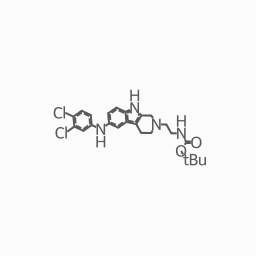 CC(C)(C)OC(=O)NCCN1CCc2c([nH]c3ccc(Nc4ccc(Cl)c(Cl)c4)cc23)C1